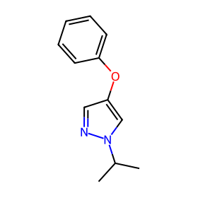 CC(C)n1cc(Oc2ccccc2)cn1